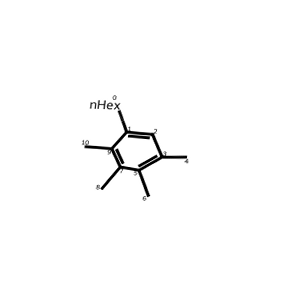 [CH2]CCCCCc1cc(C)c(C)c(C)c1C